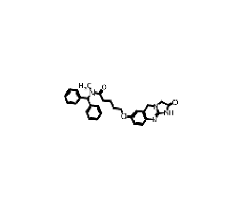 CN(C(=O)CCCCOc1ccc2c(c1)CN1CC(=O)NC1=N2)C(c1ccccc1)c1ccccc1